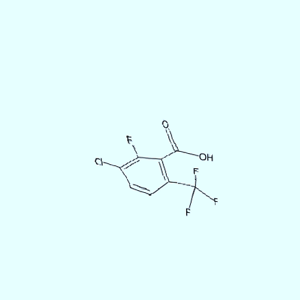 O=C(O)c1c(C(F)(F)F)ccc(Cl)c1F